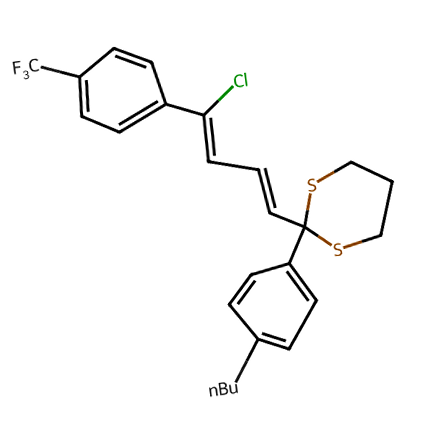 CCCCc1ccc(C2(/C=C/C=C(\Cl)c3ccc(C(F)(F)F)cc3)SCCCS2)cc1